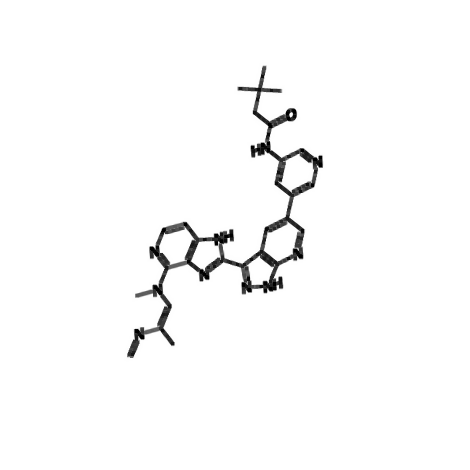 C=N/C(C)=C\N(C)c1nccc2[nH]c(-c3n[nH]c4ncc(-c5cncc(NC(=O)CC(C)(C)C)c5)cc34)nc12